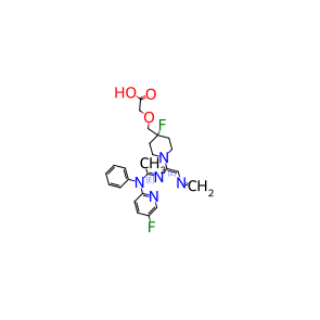 C=N/C=C(\N=C(/C)N(c1ccccc1)c1ccc(F)cn1)N1CCC(F)(COCC(=O)O)CC1